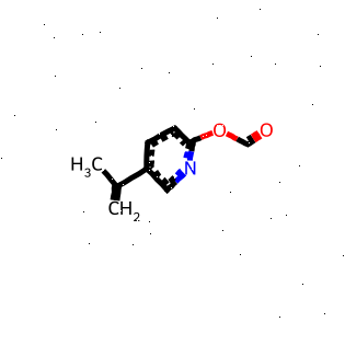 C=C(C)c1ccc(OC=O)nc1